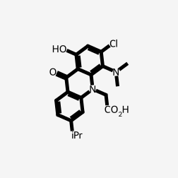 CC(C)c1ccc2c(=O)c3c(O)cc(Cl)c(N(C)C)c3n(CC(=O)O)c2c1